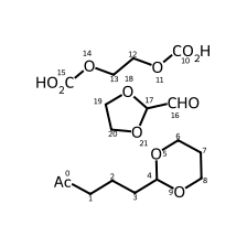 CC(=O)CCCC1OCCCO1.O=C(O)OCCOC(=O)O.O=CC1OCCO1